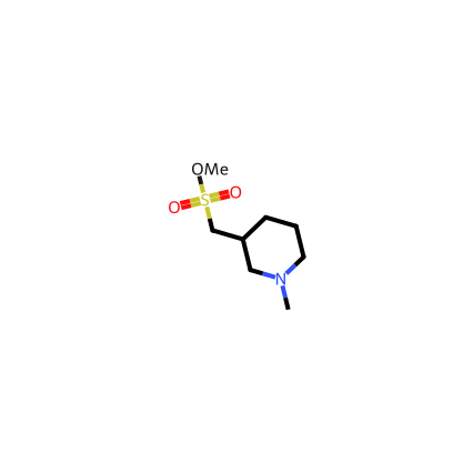 COS(=O)(=O)CC1CCCN(C)C1